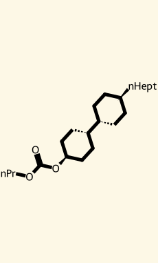 CCCCCCC[C@H]1CC[C@H]([C@H]2CC[C@H](OC(=O)OCCC)CC2)CC1